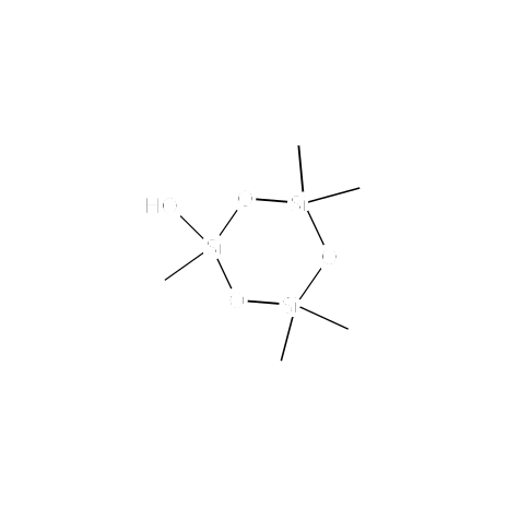 C[Si]1(C)O[Si](C)(C)O[Si](C)(O)O1